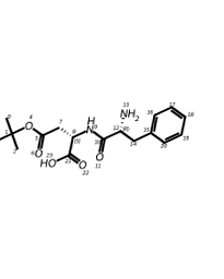 CC(C)(C)OC(=O)C[C@H](NC(=O)[C@H](N)Cc1ccccc1)C(=O)O